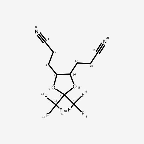 N#CCCC1OC(C(F)(F)F)(C(F)(F)F)OC1CCC#N